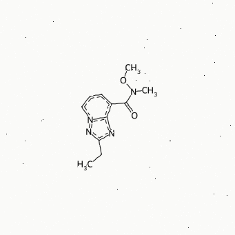 CCc1nc2c(C(=O)N(C)OC)cccn2n1